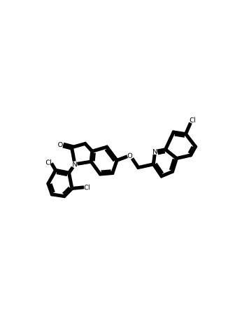 O=C1Cc2cc(OCc3ccc4ccc(Cl)cc4n3)ccc2N1c1c(Cl)cccc1Cl